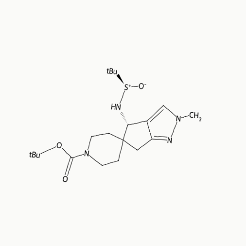 Cn1cc2c(n1)CC1(CCN(C(=O)OC(C)(C)C)CC1)[C@@H]2N[S@+]([O-])C(C)(C)C